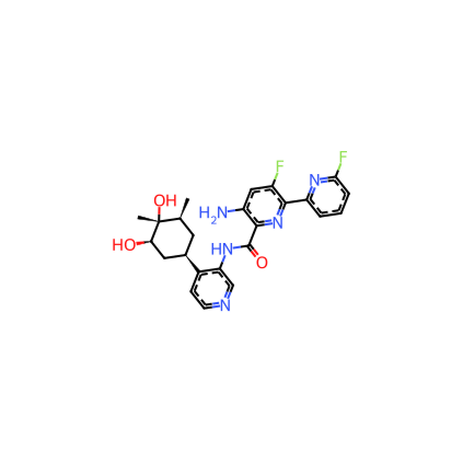 C[C@H]1C[C@@H](c2ccncc2NC(=O)c2nc(-c3cccc(F)n3)c(F)cc2N)C[C@@H](O)[C@]1(C)O